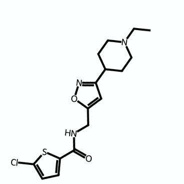 CCN1CCC(c2cc(CNC(=O)c3ccc(Cl)s3)on2)CC1